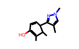 CC1=C(O)C=CC(c2nn(C)cc2C)C1C